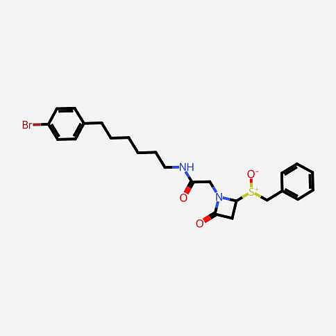 O=C(CN1C(=O)CC1[S+]([O-])Cc1ccccc1)NCCCCCCc1ccc(Br)cc1